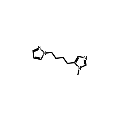 Cn1cncc1CCCCn1cccn1